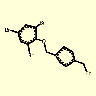 BrCc1ccc(COc2c(Br)cc(Br)cc2Br)cc1